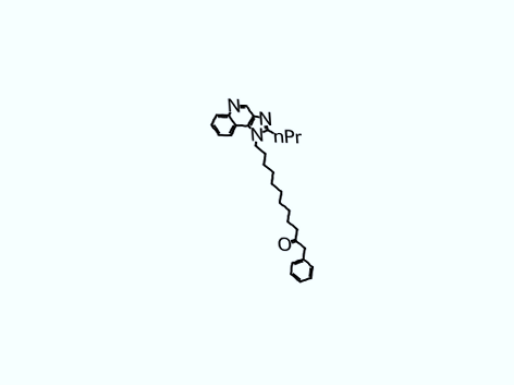 CCCc1nc2cnc3ccccc3c2n1CCCCCCCCCCC(=O)Cc1ccccc1